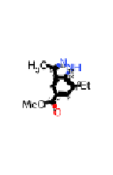 CCc1cc(C(=O)OC)cc2c(C)n[nH]c12